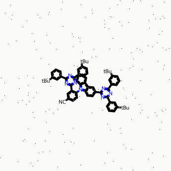 CC(C)(C)c1cccc(-c2nc(-c3cccc(C(C)(C)C)c3)nc(-c3ccc4c(c3)c3ccccc3n4-c3ccc(C#N)cc3-c3nc(-c4cccc(C(C)(C)C)c4)nc(-c4cccc(C(C)(C)C)c4)n3)n2)c1